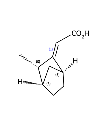 C[C@@H]1/C(=C/C(=O)O)[C@H]2CC[C@@H]1C2